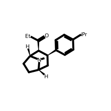 CCC(=O)[C@H]1[C@@H](c2ccc(C(C)C)cc2)C[C@@H]2CC[C@H]1N2C